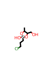 CC1O[Si](O)(CCCCl)OC1CO